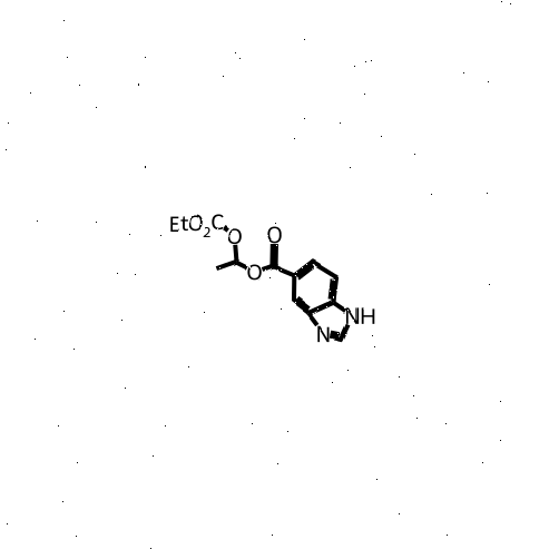 CCOC(=O)OC(C)OC(=O)c1ccc2[nH]cnc2c1